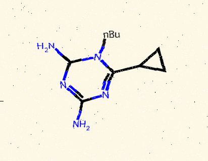 CCCCN1C(C2CC2)=NC(N)=NC1N